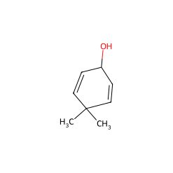 CC1(C)C=CC(O)C=C1